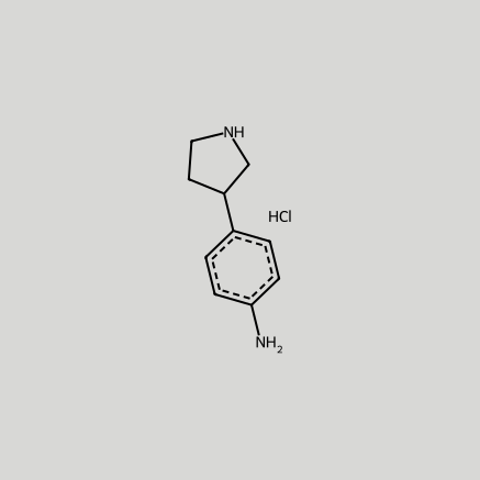 Cl.Nc1ccc(C2CCNC2)cc1